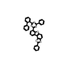 c1ccc(-c2nc(-c3ccccc3-c3ccccc3)nc(-c3cccc4c3oc3ccc5nc(-c6ccccc6)oc5c34)n2)cc1